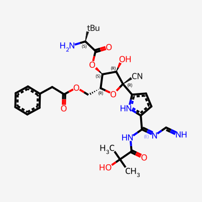 CC(C)(O)C(=O)N/C(=N/C=N)c1ccc([C@]2(C#N)O[C@H](COC(=O)Cc3ccccc3)[C@@H](OC(=O)[C@@H](N)C(C)(C)C)[C@H]2O)[nH]1